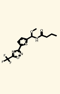 CCCC(=O)NC(OC)c1ccc(-c2noc(C(F)(F)F)n2)s1